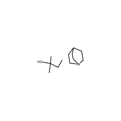 C1CN2CCC1CC2.CCC(C)(C)O